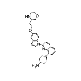 NC1CCN(c2cccc3ccc(-n4cnc5cc(OCCC6COCCN6)ccc54)nc23)CC1